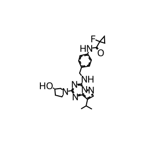 CC(C)c1cnn2c(NCc3ccc(NC(=O)C4(F)CC4)cc3)nc(N3CC[C@@H](O)C3)nc12